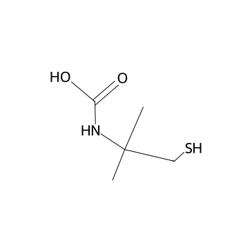 CC(C)(CS)NC(=O)O